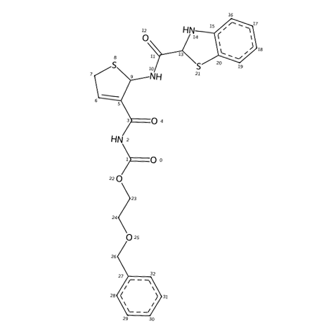 O=C(NC(=O)C1=CCSC1NC(=O)C1Nc2ccccc2S1)OCCOCc1ccccc1